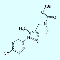 Cc1c2c(nn1-c1ccc(C#N)cc1)CCN(C(=O)OC(C)(C)C)C2